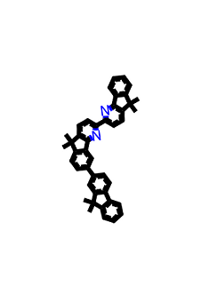 CC1(C)c2ccccc2-c2ccc(-c3ccc4c(c3)-c3nc(-c5ccc6c(n5)-c5ccccc5C6(C)C)ccc3C4(C)C)cc21